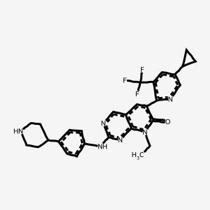 CCn1c(=O)c(-c2ncc(C3CC3)cc2C(F)(F)F)cc2cnc(Nc3ccc(C4CCNCC4)cc3)nc21